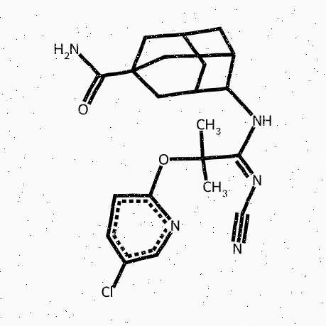 CC(C)(Oc1ccc(Cl)cn1)/C(=N\C#N)NC1C2CC3CC1CC(C(N)=O)(C3)C2